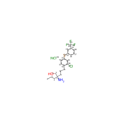 CCCC(N)(CO)CCCc1ccc(Sc2cccc(C(F)(F)F)c2)cc1Cl.Cl